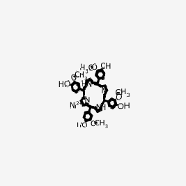 COc1cc(-c2c3nc(c(-c4ccc(O)c(OC)c4)c4ccc([nH]4)c(-c4ccc(O)c(OC)c4)c4nc(c(-c5ccc(O)c(OC)c5)c5ccc2[nH]5)C=C4)C=C3)ccc1O.[Ni+2]